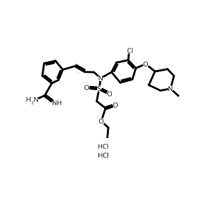 CCOC(=O)CS(=O)(=O)N(C/C=C/c1cccc(C(=N)N)c1)c1ccc(OC2CCN(C)CC2)c(Cl)c1.Cl.Cl